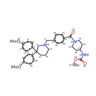 COc1ccc(C2(c3ccc(OC)cc3)CCCN(Cc3ccc(C(=O)N4CCC(NC(=O)OC(C)(C)C)CC4)cc3)C2)cc1